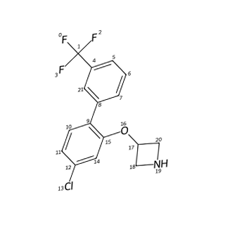 FC(F)(F)c1cccc(-c2ccc(Cl)cc2OC2CNC2)c1